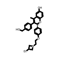 CCC1CN(CCOc2ccc([C@@H]3Oc4ccc(O)cc4C(C)=C3c3ccc(CO)cc3)cc2)C1